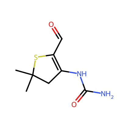 CC1(C)CC(NC(N)=O)=C(C=O)S1